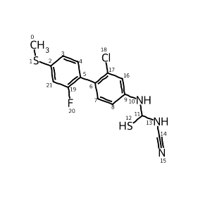 CSc1ccc(-c2ccc(NC(S)NC#N)cc2Cl)c(F)c1